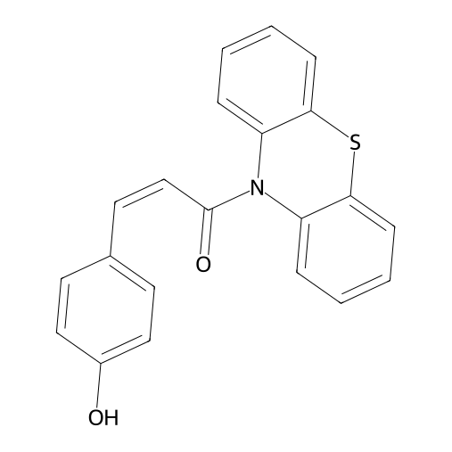 O=C(/C=C\c1ccc(O)cc1)N1c2ccccc2Sc2ccccc21